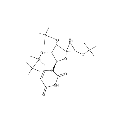 CC(C)(C)OC1[SiH2][C@@]12O[C@@H](n1ccc(=O)[nH]c1=O)[C@H](O[Si](C)(C)C(C)(C)C)[C@@H]2OC(C)(C)C